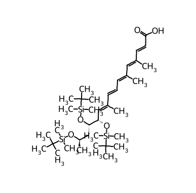 CC(=C\C=C\C(C)=C\[C@H](O[Si](C)(C)C(C)(C)C)[C@H](C[C@@H](C)O[Si](C)(C)C(C)(C)C)O[Si](C)(C)C(C)(C)C)/C=C(C)/C=C/C(=O)O